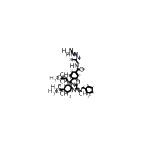 CN(Cc1ccccc1)C1=NC2(CCC(C(C)(C)C)CC2)N([C@H](CCC(C)(C)C)c2ccc(C(=O)NCC(I)/N=N\NN)cc2)C1=O